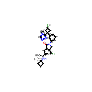 C[C@H](NC1(C)CCC1)c1cc(Cl)c2c(c1)C(=O)N(c1cccc(C3(c4nncn4C)CC(F)C3)c1)C2